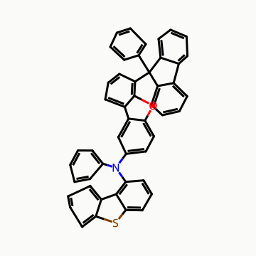 c1ccc(N(c2ccc3oc4c(C5(c6ccccc6)c6ccccc6-c6ccccc65)cccc4c3c2)c2cccc3sc4ccccc4c23)cc1